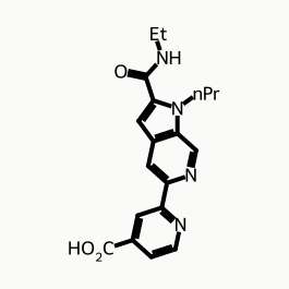 CCCn1c(C(=O)NCC)cc2cc(-c3cc(C(=O)O)ccn3)ncc21